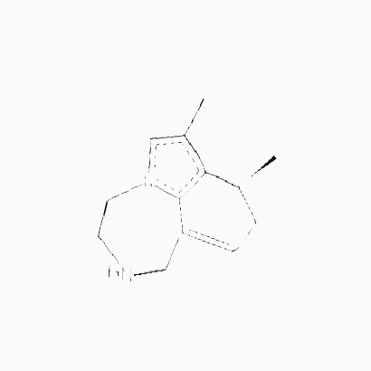 Cc1cn2c3c1[C@@H](C)CC=C3CNCC2